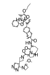 CCCOC(=O)[C@H](C)NP(=O)(Oc1ccccc1)[C@@H](F)c1ccc2sc(C(=O)N[C@H]3CCC[C@H]4CC[C@@H](C(=O)N5CC(c6cncnc6N6CC[C@H]6COC)C5)N4C3=O)cc2c1